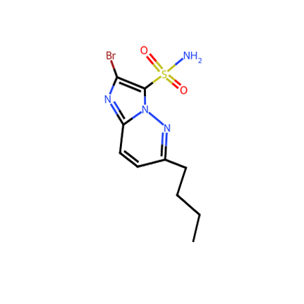 CCCCc1ccc2nc(Br)c(S(N)(=O)=O)n2n1